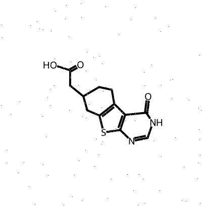 O=C(O)CC1CCc2c(sc3nc[nH]c(=O)c23)C1